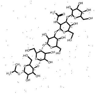 CC(=O)NC1C(O[C@@H]2OC(CO)[C@H](O)C(O)C2O)[C@@H](O)C(CO)O[C@H]1OC1C(O)[C@@H](O[C@H]2C(CO)O[C@@H](O[C@@H]3C(CO)O[C@@H](OC(C)C)C(O)C3O)C(O)C2O)OC(CO)[C@@H]1O